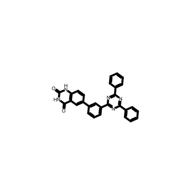 O=c1[nH]c(=O)c2cc(-c3cccc(-c4nc(-c5ccccc5)nc(-c5ccccc5)n4)c3)ccc2[nH]1